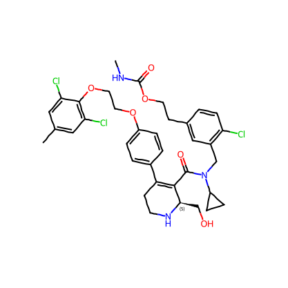 CNC(=O)OCCc1ccc(Cl)c(CN(C(=O)C2=C(c3ccc(OCCOc4c(Cl)cc(C)cc4Cl)cc3)CCN[C@@H]2CO)C2CC2)c1